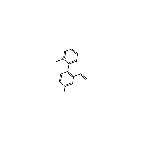 C=Cc1cc(C)ccc1-c1cccc[n+]1C